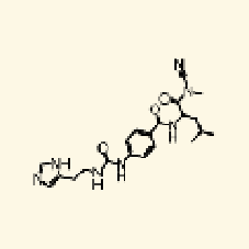 CC(C)CC(NC(=O)c1ccc(NC(=O)NCCc2cnc[nH]2)cc1)C(=O)N(C)C#N